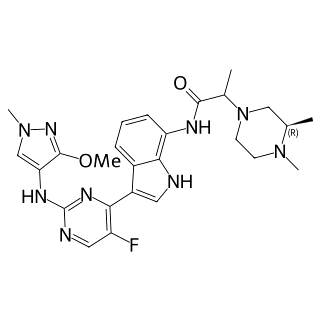 COc1nn(C)cc1Nc1ncc(F)c(-c2c[nH]c3c(NC(=O)C(C)N4CCN(C)[C@H](C)C4)cccc23)n1